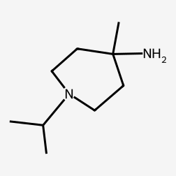 CC(C)N1CCC(C)(N)CC1